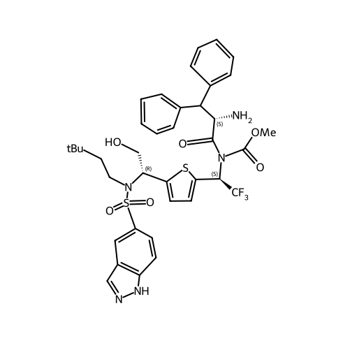 COC(=O)N(C(=O)[C@@H](N)C(c1ccccc1)c1ccccc1)[C@H](c1ccc([C@@H](CO)N(CCC(C)(C)C)S(=O)(=O)c2ccc3[nH]ncc3c2)s1)C(F)(F)F